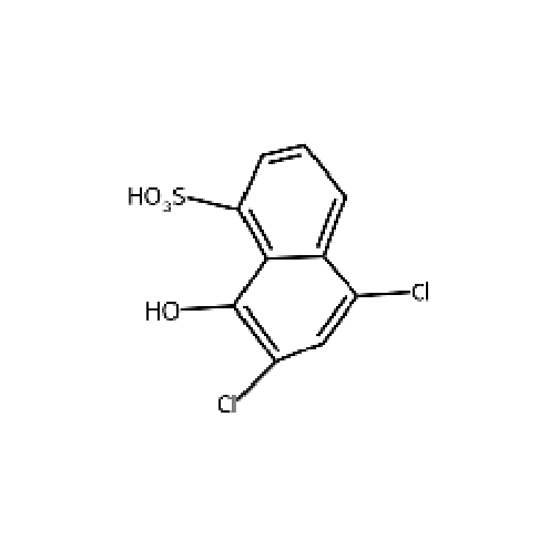 O=S(=O)(O)c1cccc2c(Cl)cc(Cl)c(O)c12